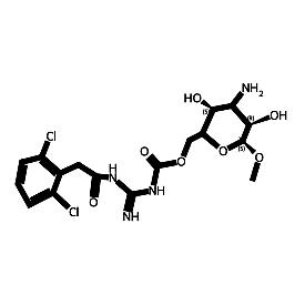 CO[C@H]1OC(COC(=O)NC(=N)NC(=O)Cc2c(Cl)cccc2Cl)[C@@H](O)C(N)[C@H]1O